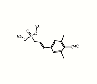 CCOP(=O)(C/C=C/c1cc(C)c(C=O)c(C)c1)OCC